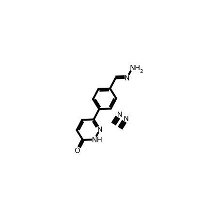 C#N.C#N.NN=Cc1ccc(-c2ccc(=O)[nH]n2)cc1